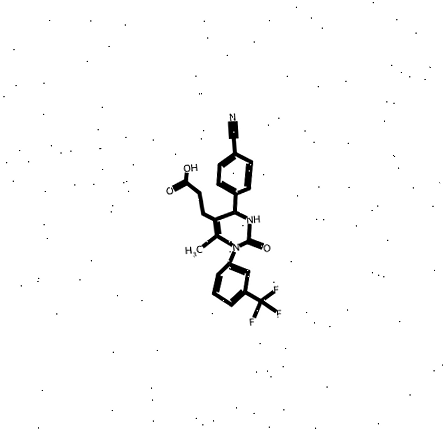 CC1=C(CCC(=O)O)C(c2ccc(C#N)cc2)NC(=O)N1c1cccc(C(F)(F)F)c1